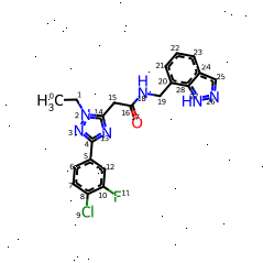 CCn1nc(-c2ccc(Cl)c(F)c2)nc1CC(=O)NCc1cccc2cn[nH]c12